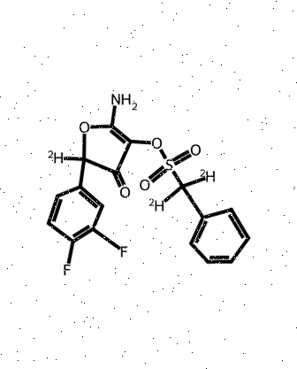 [2H]C1(c2ccc(F)c(F)c2)OC(N)=C(OS(=O)(=O)C([2H])([2H])c2ccccc2)C1=O